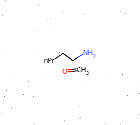 C=O.CCCCCN